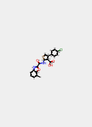 Cc1cccc2nc(C(=O)Nc3scc(-c4ccc(Cl)cc4)c3C(=O)O)oc12